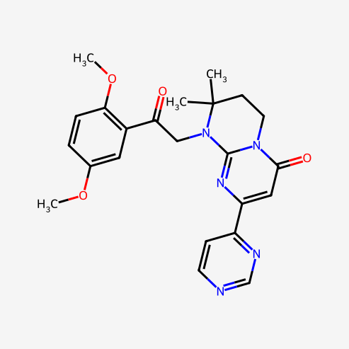 COc1ccc(OC)c(C(=O)CN2c3nc(-c4ccncn4)cc(=O)n3CCC2(C)C)c1